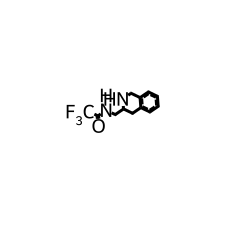 O=C(NCC1Cc2ccccc2CN1)C(F)(F)F